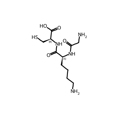 NCCCC[C@H](NC(=O)CN)C(=O)N[C@@H](CS)C(=O)O